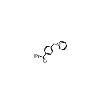 CC(C)C(=O)c1ccc(C[n+]2ccccc2)cc1